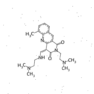 Cc1cccc2cc3c(nc12)C(=CNCCN(C)C)C(=O)N(CCN(C)C)C3=O